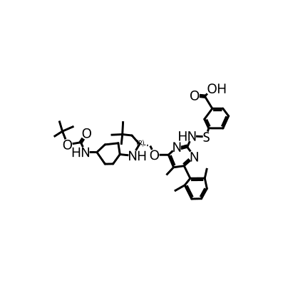 Cc1cccc(C)c1-c1nc(NSc2cccc(C(=O)O)c2)nc(OC[C@@H](CC(C)(C)C)NC2CCC(NC(=O)OC(C)(C)C)CC2)c1C